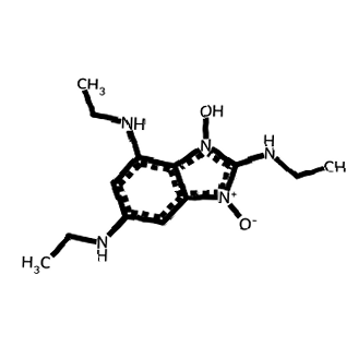 CCNc1cc(NCC)c2c(c1)[n+]([O-])c(NCC)n2O